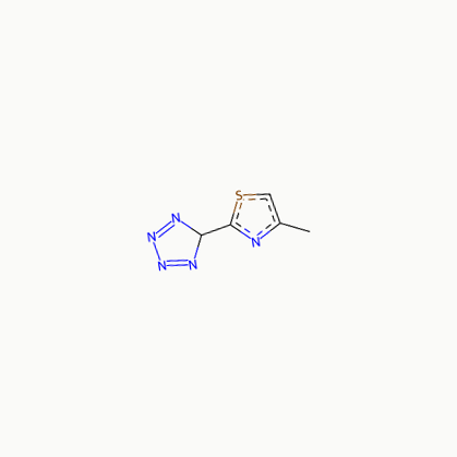 Cc1csc(C2N=NN=N2)n1